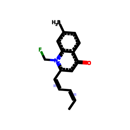 Bc1ccc2c(=O)cc(/C=C\C=C/C)n(CF)c2c1